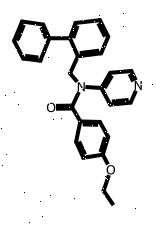 CCOc1ccc(C(=O)N(Cc2ccccc2-c2ccccc2)c2ccncc2)cc1